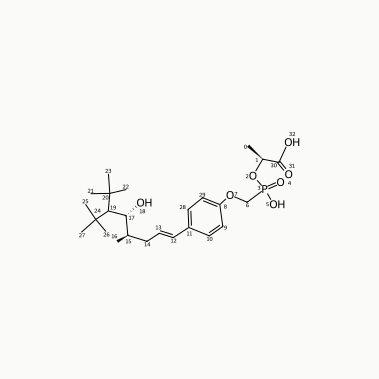 C[C@H](OP(=O)(O)COc1ccc(/C=C/C[C@@H](C)[C@@H](O)C(C(C)(C)C)C(C)(C)C)cc1)C(=O)O